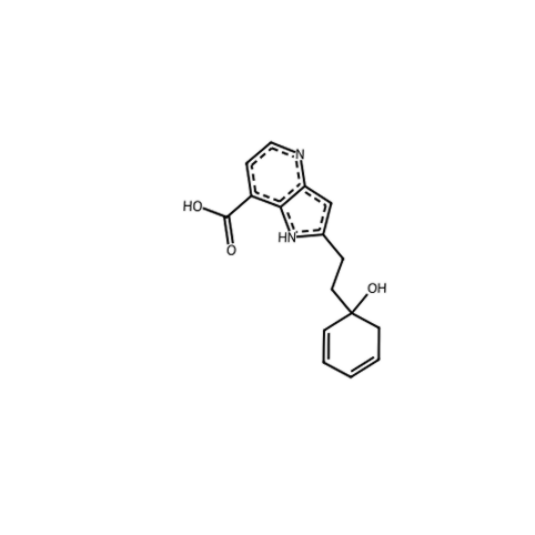 O=C(O)c1ccnc2cc(CCC3(O)C=CC=CC3)[nH]c12